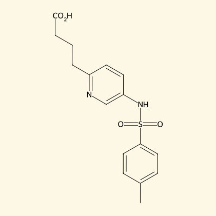 Cc1ccc(S(=O)(=O)Nc2ccc(CCCC(=O)O)nc2)cc1